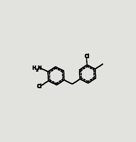 Cc1ccc(Cc2ccc(N)c(Cl)c2)cc1Cl